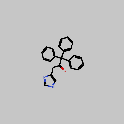 O=C(Cc1c[nH]cn1)C(c1ccccc1)(c1ccccc1)c1ccccc1